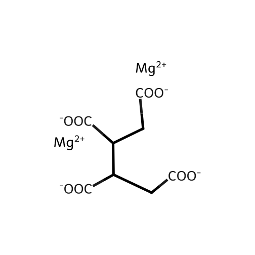 O=C([O-])CC(C(=O)[O-])C(CC(=O)[O-])C(=O)[O-].[Mg+2].[Mg+2]